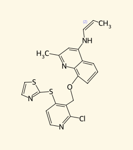 C/C=C\Nc1cc(C)nc2c(OCc3c(Sc4nccs4)ccnc3Cl)cccc12